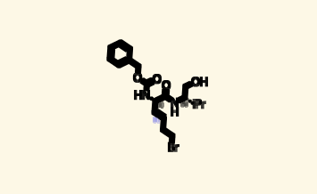 CC(C)[C@@H](CO)NC(=O)[C@H](/C=C/CCBr)NC(=O)OCc1ccccc1